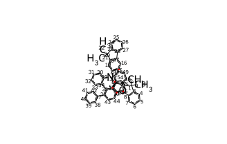 CC1(C)c2ccccc2-c2ccc(N(c3ccc4c(c3)C(C)(C)c3ccccc3-4)c3ccccc3-c3c(-c4ccccc4)ccc4oc5ccccc5c34)cc21